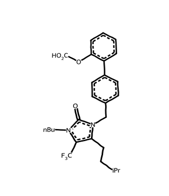 CCCCn1c(C(F)(F)F)c(CCC(C)C)n(Cc2ccc(-c3ccccc3OC(=O)O)cc2)c1=O